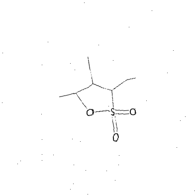 CC1OS(=O)(=O)C(C)C1C